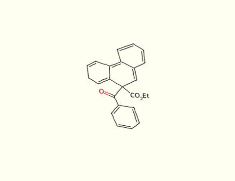 CCOC(=O)C1(C(=O)c2ccccc2)C=c2ccccc2=C2C=CCC=C21